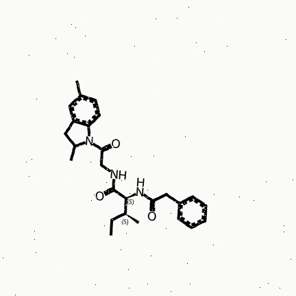 CC[C@H](C)[C@H](NC(=O)Cc1ccccc1)C(=O)NCC(=O)N1c2ccc(C)cc2CC1C